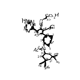 CC(=O)N(c1cccc(-c2sc(-c3nn[nH]n3)c(OCC(=O)O)c2Cl)c1)C1CC(C)(C)CC(C)(C)C1